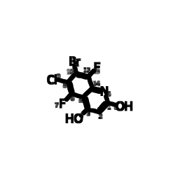 Oc1cc(O)c2c(F)c(Cl)c(Br)c(F)c2n1